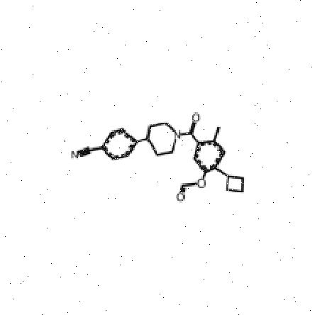 Cc1cc(C2CCC2)c(OC=O)cc1C(=O)N1CCC(c2ccc(C#N)cc2)CC1